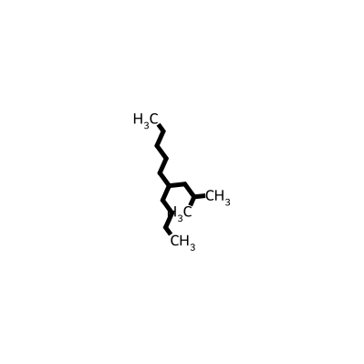 CCCCC[C](CCCC)CC(C)C